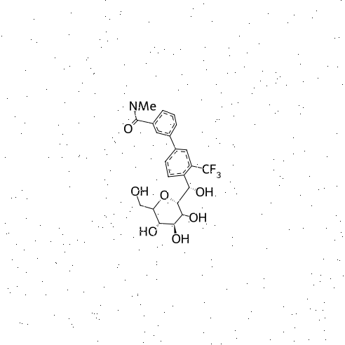 CNC(=O)c1cccc(-c2ccc([C@H](O)[C@H]3OC(CO)[C@@H](O)[C@H](O)C3O)c(C(F)(F)F)c2)c1